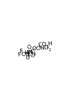 CCN(C(=O)c1cccnc1N[C@H](COc1ccc([N+](=O)[O-])c(C(=O)O)c1)c1ccccc1)c1ccc(F)c(F)c1